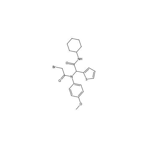 COc1ccc(N(C(=O)CBr)C(C(=O)NC2CCCCC2)c2cccs2)cc1